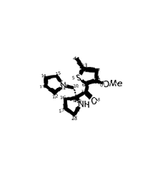 COc1cc(C)sc1C(=O)[C@]1(CN2CCCC2)CCCN1